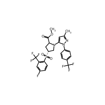 COC(=O)C1C[C@@H](S(=O)(=O)c2ccc(F)cc2C(F)(F)F)CN1c1cc(C)nn1-c1ccc(C(F)(F)F)cc1